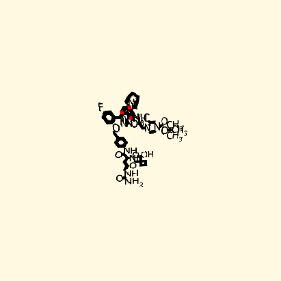 C[C@@H]1CN(C(=O)OC(C)(C)C)CCN1CCOc1cc(N2C3CCC2CN(c2cc(-c4cc(F)ccc4OCc4ccc(NC(=O)C(CCCNC(N)=O)NC(=O)C5(C(=O)O)CCC5)cc4)nnc2N)C3)ccn1